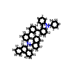 c1ccc(-n2c3ccccc3c3c(-c4cccc(-c5cccc(N(c6cccc7ccccc67)c6cc7ccccc7c7ccccc67)c5)c4)cccc32)cc1